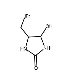 CC(C)CC1NC(=O)NC1O